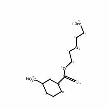 CCCCCCCCCCCCOCCOC(=O)C1CCCC(C(=O)O)C1